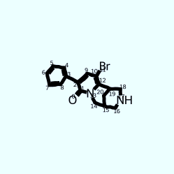 O=c1c(-c2ccccc2)cc(Br)c2n1CC1CNCC2C1